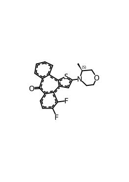 C[C@H]1COCCN1c1cc2c(s1)c1ccccc1c(=O)c1ccc(F)c(F)c12